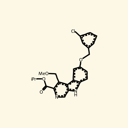 COCc1c(C(=O)OC(C)C)ncc2[nH]c3ccc(OCc4cccc(Cl)c4)cc3c12